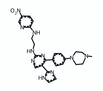 CN1CCN(c2ccc(-c3nc(NCCNc4ccc([N+](=O)[O-])cn4)ncc3-c3ncc[nH]3)cc2)CC1